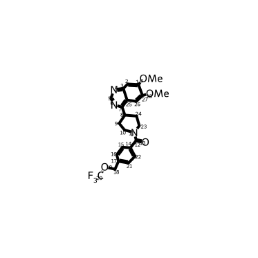 COc1cc2ncnc(C3CCN(C(=O)c4ccc(COC(F)(F)F)cc4)CC3)c2cc1OC